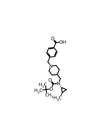 C[C@@H]1C[C@H]1N(CC1CCN(Cc2ccc(C(=O)O)cc2)CC1)C(=O)OC(C)(C)C